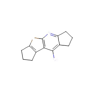 Nc1c2c(nc3sc4c(c13)CCC4)CCC2